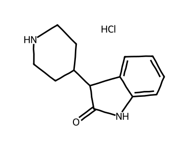 Cl.O=C1Nc2ccccc2C1C1CCNCC1